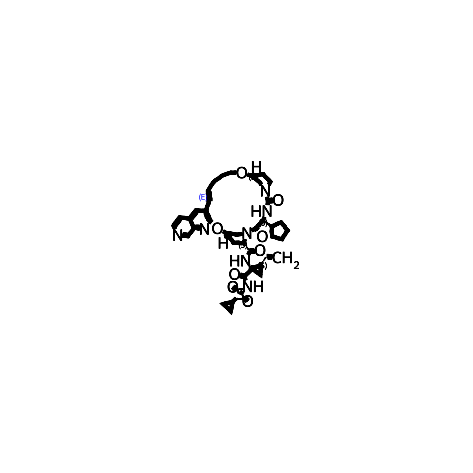 C=C[C@@H]1C[C@]1(NC(=O)[C@@H]1C[C@@H]2CN1C(=O)[C@H](C1CCCC1)NC(=O)N1CC[C@@H](C1)OCCC/C=C/c1cc3ccncc3nc1O2)C(=O)NS(=O)(=O)C1CC1